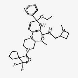 CCOC1(c2cccnc2)C=CC(N2CCN(C(=O)C3(C(F)(F)F)CCCC3)C[C@H]2CC)=C(C(=O)NC[C@@H]2CCN2C)N1